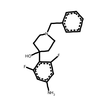 Nc1cc(F)c(C2(O)CCN(Cc3ccccc3)CC2)c(F)c1